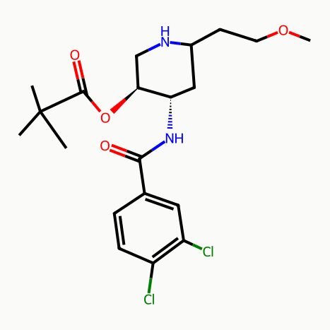 COCCC1C[C@H](NC(=O)c2ccc(Cl)c(Cl)c2)[C@@H](OC(=O)C(C)(C)C)CN1